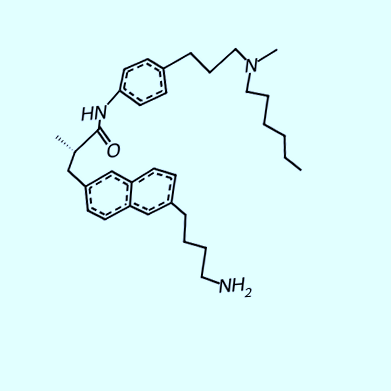 CCCCCCN(C)CCCc1ccc(NC(=O)[C@@H](C)Cc2ccc3cc(CCCCN)ccc3c2)cc1